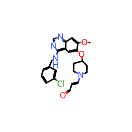 COc1cc2ncnc(NCc3cccc(Cl)c3)c2cc1OC1CCN(C=CC=O)CC1